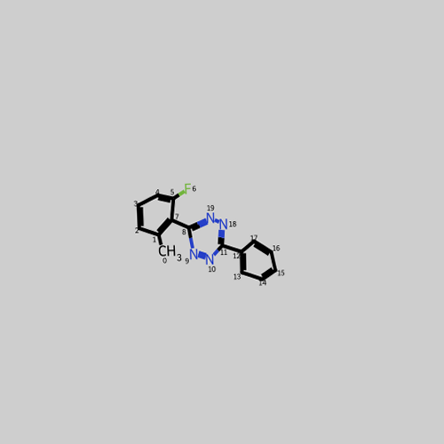 Cc1cccc(F)c1-c1nnc(-c2ccccc2)nn1